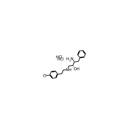 Cl.Cl.N[C@@H](Cc1ccccc1)[C@H](O)CNCCc1ccc(Cl)cc1